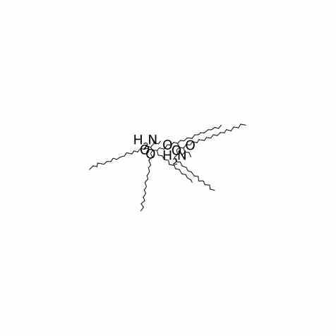 CCCCCCCCCCCCCCCCOCC(C(N)CC)C(OCCCCCCCCCCCCCCCC)C(CCCCCCCCCCCCC)CCOCCC(CCCCCCCCCCCCC)C(OCCCCCCCCCCCCCCCC)C(COCCCCCCCCCCCCCCCC)C(N)CC